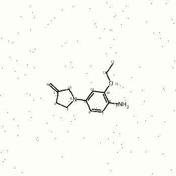 C=C1CCN(c2ccc(N)c(OCC)c2)C1